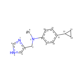 CC(C)N(Cc1c[nH]cn1)c1ccc(C2CC2)cc1